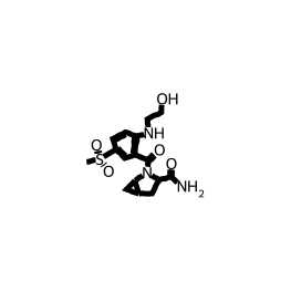 CS(=O)(=O)c1ccc(NCCO)c(C(=O)N2C(C(N)=O)CC3CC32)c1